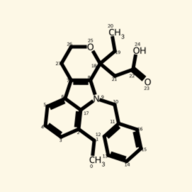 CCc1cccc2c3c(n(Cc4ccccc4)c12)C(CC)(CC(=O)O)OCC3